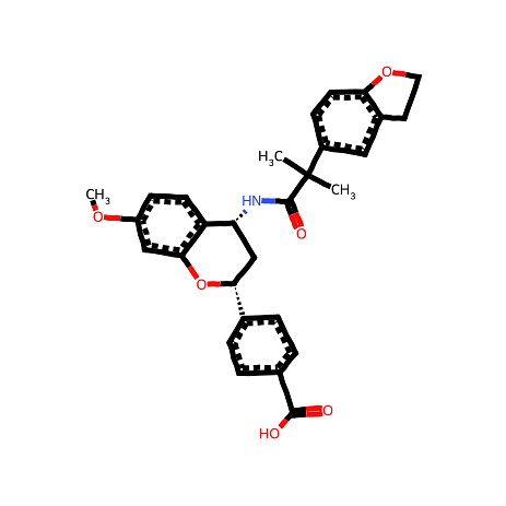 COc1ccc2c(c1)O[C@@H](c1ccc(C(=O)O)cc1)C[C@H]2NC(=O)C(C)(C)c1ccc2c(c1)CCO2